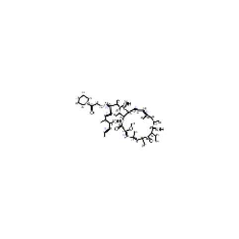 C/C=C/C(O)C(C)/C=C/C(=N\OCC(=O)N1CCCCC1)C(C)C(O)C(C)C1OC(=O)/C(OC)=C/C(C)=C/C(C)C(O)C(CC)C(O)C(C)C/C(C)=C/C=C/C1OC